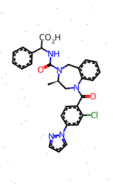 C[C@@H]1CN(C(=O)c2ccc(-n3cccn3)cc2Cl)c2ccccc2CN1C(=O)NC(C(=O)O)c1ccccc1